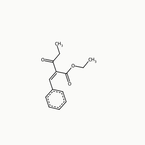 CCOC(=O)C(=Cc1ccccc1)C(=O)CC